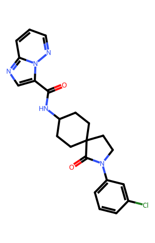 O=C(NC1CCC2(CC1)CCN(c1cccc(Cl)c1)C2=O)c1cnc2cccnn12